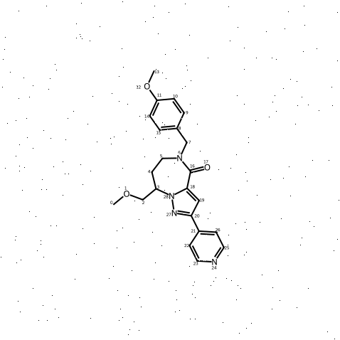 COCC1CCN(Cc2ccc(OC)cc2)C(=O)c2cc(-c3ccncc3)nn21